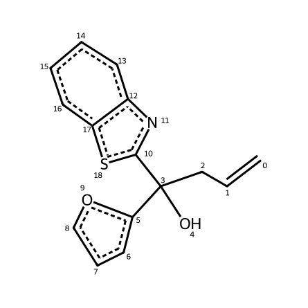 C=CCC(O)(c1ccco1)c1nc2ccccc2s1